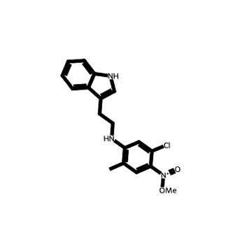 CO[N+](=O)c1cc(C)c(NCCc2c[nH]c3ccccc23)cc1Cl